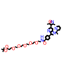 Cc1noc(C)c1-c1cnc2c(-c3ccc(C(=O)NCCOCCOCCOCCOCCOCCC(=O)OC(C)(C)C)cc3)cn(C(C)c3ccccn3)c2c1